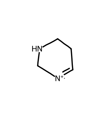 C1=[N+]CNCC1